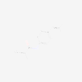 CCCCCCCCCC(C)C(=O)Nc1ccc(C=C(C(=O)O)C(=O)O)cc1